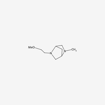 COCCN1CC2CC1CN2C